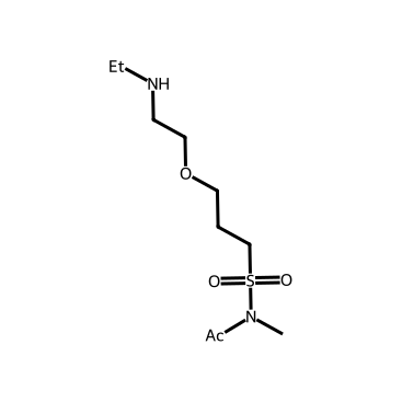 CCNCCOCCCS(=O)(=O)N(C)C(C)=O